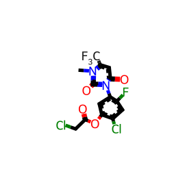 Cn1c(C(F)(F)F)cc(=O)n(-c2cc(OC(=O)CCl)c(Cl)cc2F)c1=O